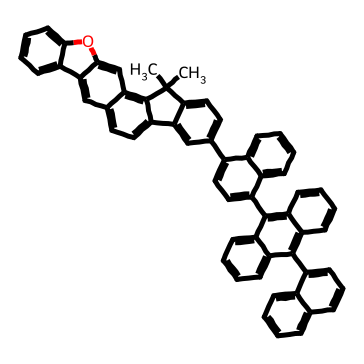 CC1(C)c2ccc(-c3ccc(-c4c5ccccc5c(-c5cccc6ccccc56)c5ccccc45)c4ccccc34)cc2-c2ccc3cc4c(cc3c21)oc1ccccc14